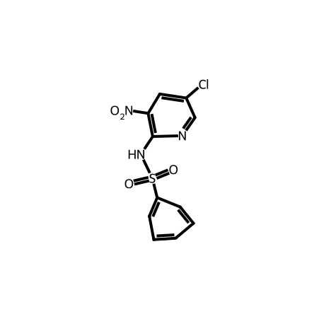 O=[N+]([O-])c1cc(Cl)cnc1NS(=O)(=O)c1ccccc1